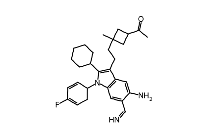 CC(=O)C1CC(C)(CCc2c(C3CCCCC3)n(C3C=CC(F)=CC3)c3cc(C=N)c(N)cc23)C1